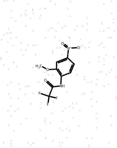 COc1cc([N+](=O)[O-])ccc1NC(=O)C(F)(F)F